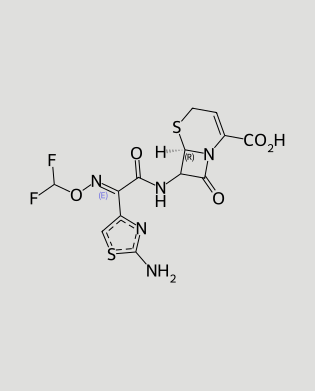 Nc1nc(/C(=N\OC(F)F)C(=O)NC2C(=O)N3C(C(=O)O)=CCS[C@H]23)cs1